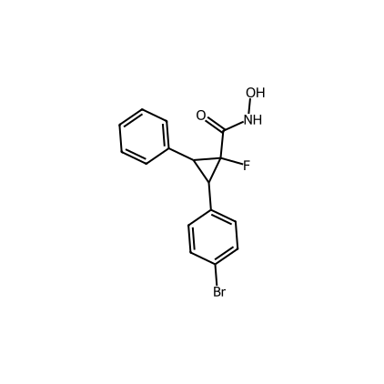 O=C(NO)C1(F)C(c2ccccc2)C1c1ccc(Br)cc1